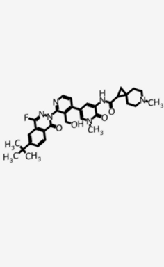 CN1CCC2(CC1)CC2C(=O)Nc1cc(-c2ccnc(-n3nc(F)c4cc(C(C)(C)C)ccc4c3=O)c2CO)cn(C)c1=O